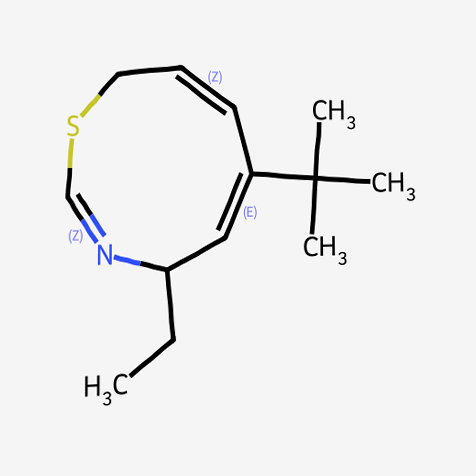 CCC1/C=C(C(C)(C)C)\C=C/CS/C=N\1